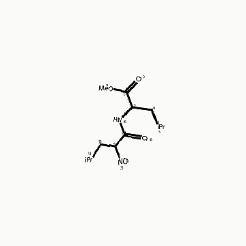 COC(=O)C(CC(C)C)NC(=O)C(CC(C)C)N=O